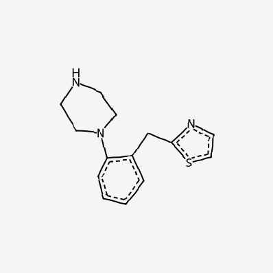 c1ccc(N2CCNCC2)c(Cc2nccs2)c1